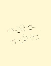 COc1ccc(-c2cc(=O)n3nc(C4=CCNCC4)ccc3n2)cc1OC.Cc1cn2nc(-c3cc(=O)n4cc(N5C[C@@H]6C[C@H]5CN6)ccc4n3)cc2c(C)n1